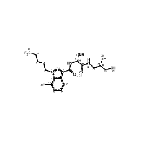 CC(C)(C)[C@H](NC(=O)c1nn(CCCCC(F)(F)F)c2c(F)cccc12)C(=O)NC[C@@H](O)CO